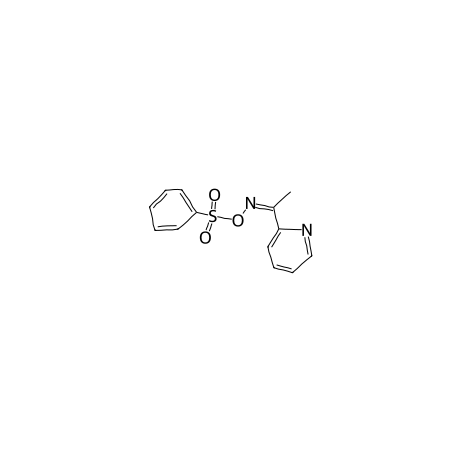 CC(=NOS(=O)(=O)c1ccccc1)c1ccccn1